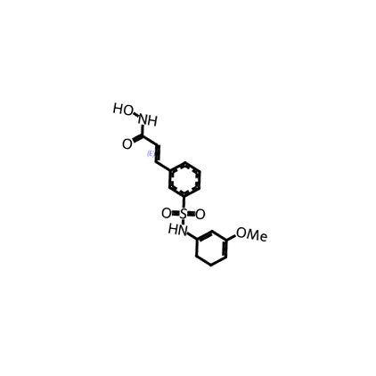 COC1=CCCC(NS(=O)(=O)c2cccc(/C=C/C(=O)NO)c2)=C1